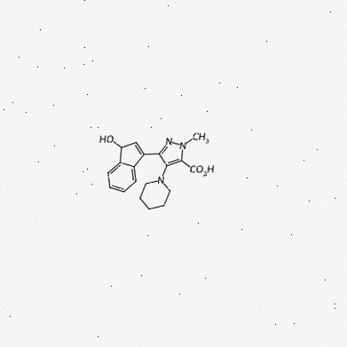 Cn1nc(C2=CC(O)c3ccccc32)c(N2CCCCC2)c1C(=O)O